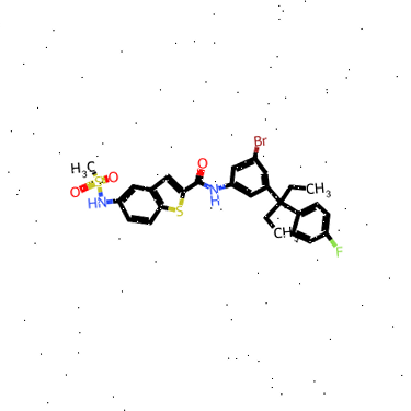 CCC(CC)(c1ccc(F)cc1)c1cc(Br)cc(NC(=O)c2cc3cc(NS(C)(=O)=O)ccc3s2)c1